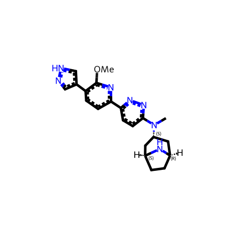 COc1nc(-c2ccc(N(C)[C@@H]3C[C@H]4CC[C@@H](C3)N4)nn2)ccc1-c1cn[nH]c1